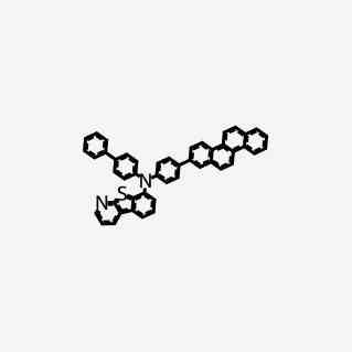 c1ccc(-c2ccc(N(c3ccc(-c4ccc5c(ccc6c7ccccc7ccc56)c4)cc3)c3cccc4c3sc3ncccc34)cc2)cc1